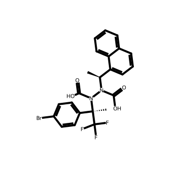 C[C@@H](c1cccc2ccccc12)N(C(=O)O)N(C(=O)O)[C@](C)(c1ccc(Br)cc1)C(F)(F)F